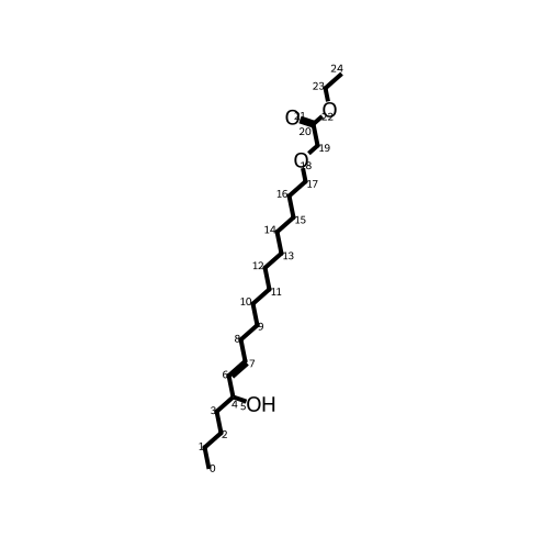 CCCCC(O)C=CCCCCCCCCCCOCC(=O)OCC